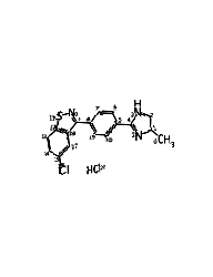 CC1CNC(c2ccc(-c3nsc4ccc(Cl)cc34)cc2)=N1.Cl